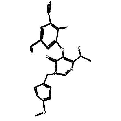 COc1ccc(Cn2cnc(C(C)F)c(Oc3cc(C=O)cc(C#N)c3F)c2=O)cc1